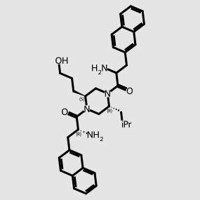 CC(C)C[C@@H]1CN(C(=O)[C@H](N)Cc2ccc3ccccc3c2)[C@@H](CCCO)CN1C(=O)C(N)Cc1ccc2ccccc2c1